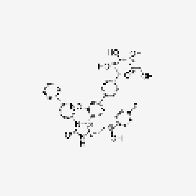 O=C1N[C@@H](CC[C@H](O)c2ccc(F)cc2)[C@@H](c2ccc(-c3ccc(C4O[C@H](CO)[C@@H](O)[C@H](O)[C@H]4O)cc3)cc2O)N1c1ccc(-c2ccccc2)cc1